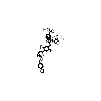 CC1(C)COCC1n1c(Cc2cc(F)c(-c3ccnc(OCc4ccc(Cl)cc4)n3)cc2F)nc2ccc(C(=O)O)cc21